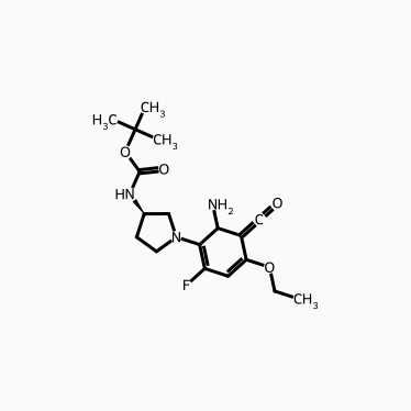 CCOC1=CC(F)=C(N2CC[C@@H](NC(=O)OC(C)(C)C)C2)C(N)C1=C=O